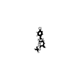 C=C(Cc1nc(-c2ccc(Cl)cc2)no1)C(=O)OC(C)(C)C